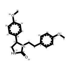 COc1ccc(CCN2C(=O)NCC2c2ccc(OC)cc2)cc1